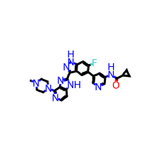 CN1CCN(c2nccc3[nH]c(-c4n[nH]c5cc(F)c(-c6cncc(NC(=O)C7CC7)c6)cc45)nc23)CC1